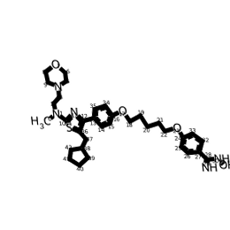 CN(CCN1CCOCC1)c1nc(-c2ccc(OCCCCCOc3ccc(C(=N)NO)cc3)cc2)c(CC2CCCC2)s1